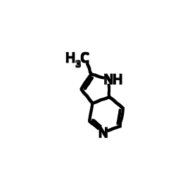 CC1=CC2C=NC=CC2N1